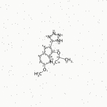 COc1ccc2sc(-c3nnn[nH]3)c(OC(C)C)c2c1